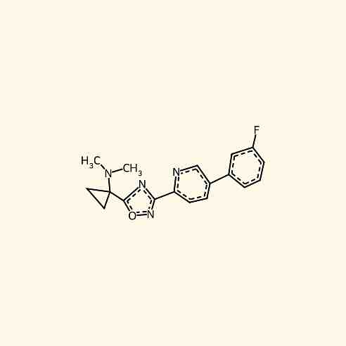 CN(C)C1(c2nc(-c3ccc(-c4cccc(F)c4)cn3)no2)CC1